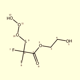 O=C(OCCO)C(F)(F)SOOO